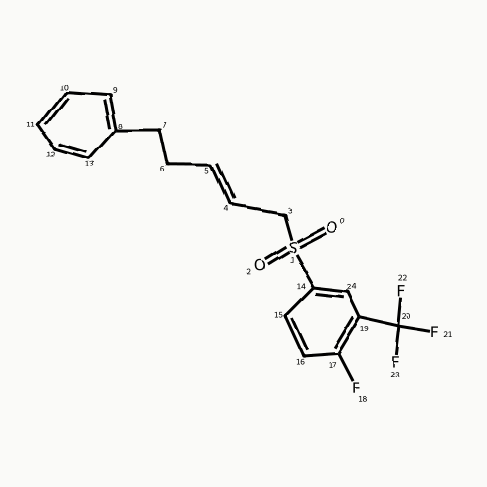 O=S(=O)(CC=CCCc1ccccc1)c1ccc(F)c(C(F)(F)F)c1